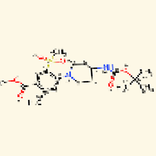 COC(=O)c1cc(S(C)(=O)=O)c(N2CCC(NC(=O)OC(C)(C)C)CC2)cc1C